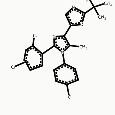 Cc1c(-c2cnc(C(C)(C)C)o2)nc(-c2ccc(Cl)cc2Cl)n1-c1ccc(Cl)cc1